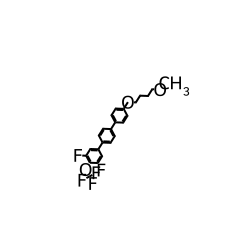 COCCCCOc1ccc(-c2ccc(-c3cc(F)c(OC(F)(F)F)c(F)c3)cc2)cc1